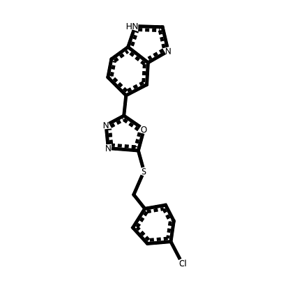 Clc1ccc(CSc2nnc(-c3ccc4[nH]cnc4c3)o2)cc1